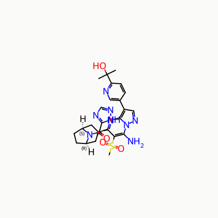 CC(C)(O)c1ccc(-c2cnn3c(N)c(S(C)(=O)=O)c([C@H]4C[C@H]5CC[C@@H](C4)N5C(=O)c4ncn[nH]4)nc23)cn1